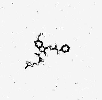 CC(O)OCOC1OC1C(C)N1C(=O)/C(=N\NC(=S)Nc2ccccc2)c2cc(OC(F)(F)F)ccc21